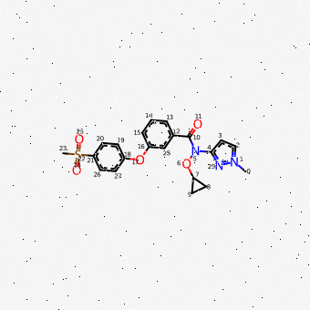 Cn1ccc(N(OC2CC2)C(=O)c2cccc(Oc3ccc(S(C)(=O)=O)cc3)c2)n1